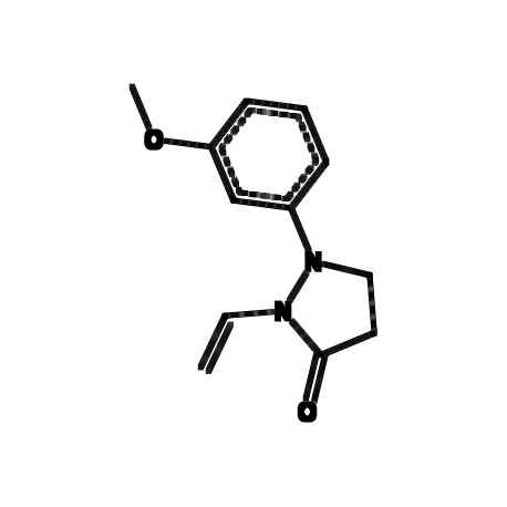 C=CN1C(=O)CCN1c1cccc(OC)c1